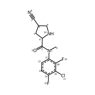 CN(C(=O)C1CC(C#N)CN1)c1ccc(F)c(Cl)c1F